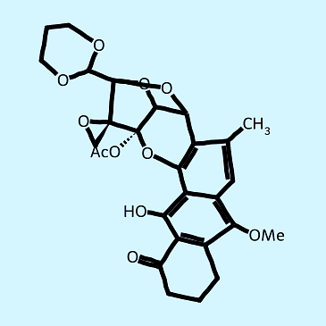 COc1c2c(c(O)c3c4c(c(C)cc13)C1OC3(C5OCCCO5)OC1[C@@](OC(C)=O)(O4)[C@@]31CO1)C(=O)CCC2